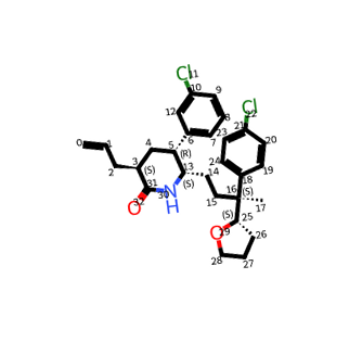 C=CC[C@H]1C[C@H](c2cccc(Cl)c2)[C@H](CC[C@@](C)(c2ccc(Cl)cc2)[C@@H]2CCCO2)NC1=O